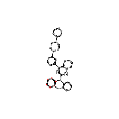 c1ccc(-c2ccc(-c3cccc(-c4nc(C56c7ccccc7C(c7ccccc75)c5ccccc56)nc5ccccc45)c3)cc2)cc1